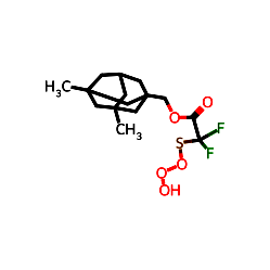 CC12CC3CC(C)(C1)CC(COC(=O)C(F)(F)SOOO)(C3)C2